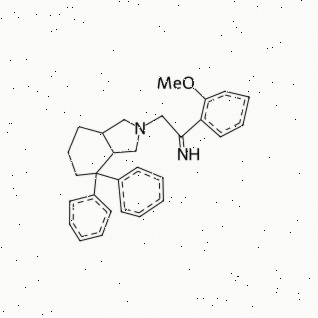 COc1ccccc1C(=N)CN1CC2CCCC(c3ccccc3)(c3ccccc3)C2C1